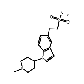 CN1CCC(n2ccc3cc(CCS(N)(=O)=O)ccc32)CC1